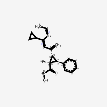 C=C(/C=C(\N=C/C)C1CC1)[C@@H]1[C@@H](c2ccccc2)[C@@]1(F)C(=O)NO